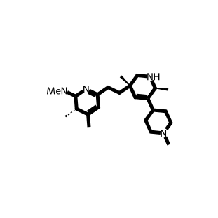 CNC1N=C(CC[C@@]2(C)C=C(C3CCN(C)CC3)[C@H](C)NC2)C=C(C)[C@@H]1C